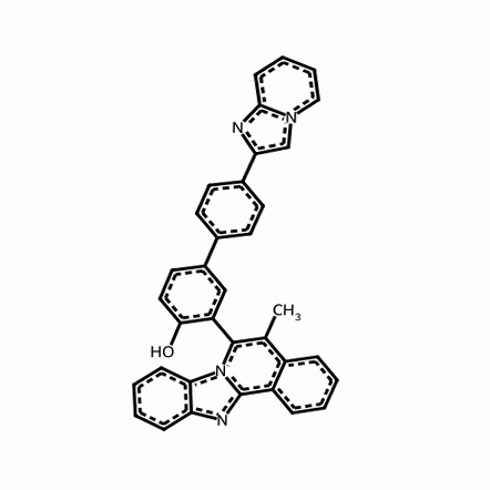 Cc1c(-c2cc(-c3ccc(-c4cn5ccccc5n4)cc3)ccc2O)n2c3ccccc3nc2c2ccccc12